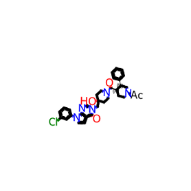 CC(=O)N1CC[C@@H](C(=O)N2CCC(O)(Cn3cnc4c(ccn4-c4cccc(Cl)c4)c3=O)CC2)[C@H](c2ccccc2)C1